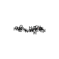 CC1(C)[C@H](NC(=O)c2ccc(N3CCC(CN4CCN(c5ccc6c(c5)C(=O)N(C5CCC(=O)NC5=O)C6=O)CC4)CC3)nc2)C(C)(C)[C@H]1Oc1ccc(C#N)c2ncccc12